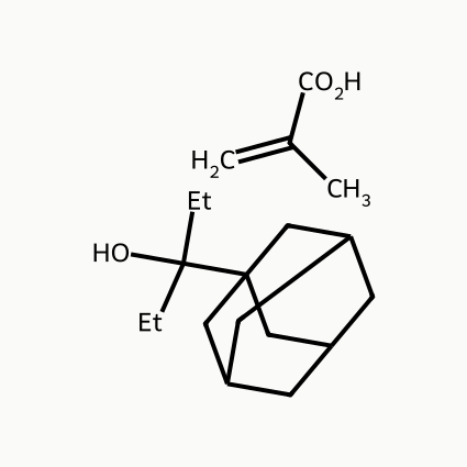 C=C(C)C(=O)O.CCC(O)(CC)C12CC3CC(CC(C3)C1)C2